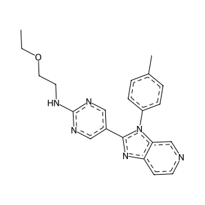 CCOCCNc1ncc(-c2nc3ccncc3n2-c2ccc(C)cc2)cn1